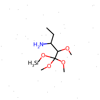 CCC(N)C(OC)C(OC)(OC)O[SiH3]